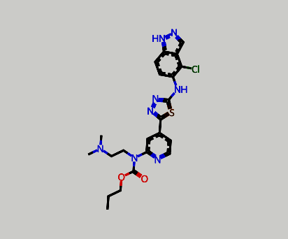 CCCOC(=O)N(CCN(C)C)c1cc(-c2nnc(Nc3ccc4[nH]ncc4c3Cl)s2)ccn1